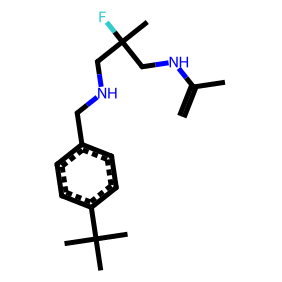 C=C(C)NCC(C)(F)CNCc1ccc(C(C)(C)C)cc1